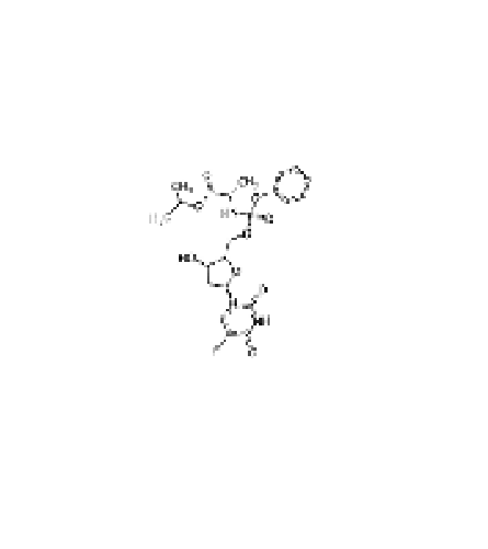 CC(C)OC(=O)[C@H](C)NP(=O)(OCC1O[C@@H](n2cc(F)c(=O)[nH]c2=O)C[C@H]1O)Oc1ccccc1